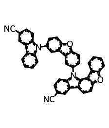 N#Cc1ccc2c(c1)c1ccccc1n2-c1ccc2oc3ccc(-n4c5ccc(C#N)cc5c5ccc6oc7ccccc7c6c54)cc3c2c1